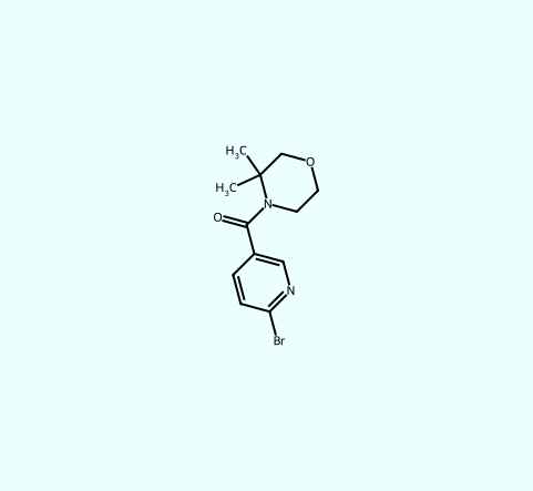 CC1(C)COCCN1C(=O)c1ccc(Br)nc1